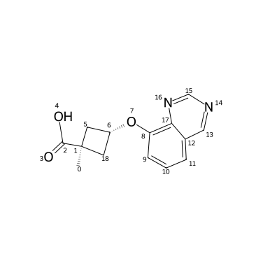 C[C@]1(C(=O)O)C[C@H](Oc2cccc3cncnc23)C1